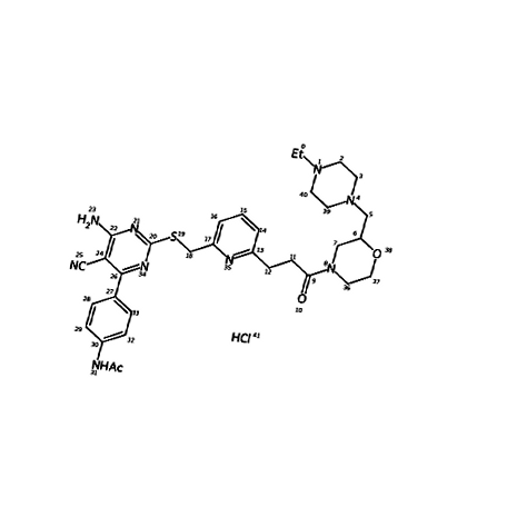 CCN1CCN(CC2CN(C(=O)CCc3cccc(CSc4nc(N)c(C#N)c(-c5ccc(NC(C)=O)cc5)n4)n3)CCO2)CC1.Cl